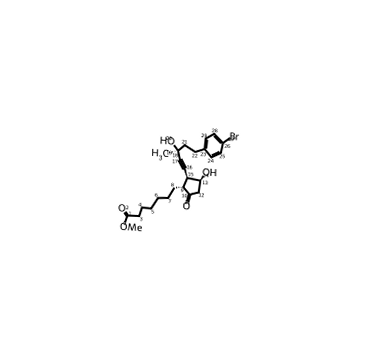 COC(=O)CCCCCC[C@H]1C(=O)C[C@H](O)[C@@H]1C#C[C@@](C)(O)CCc1ccc(Br)cc1